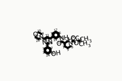 CC(C)(C)OC(=O)N1CCCC(C(=O)Nc2cccc(-c3cc(N4CCOCC4)nc(-c4cccc(O)c4)n3)c2)C1